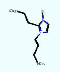 CCCCCCCCCCCCC[n+]1ccn(CC)c1CCCCCCCCCCCC